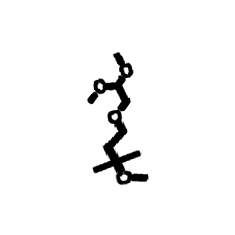 COC(COCCC(C)(C)OC)OC